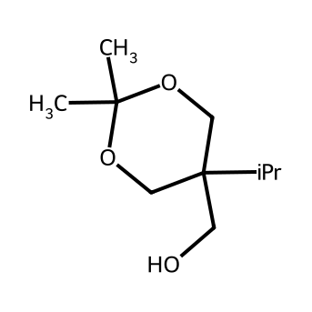 CC(C)C1(CO)COC(C)(C)OC1